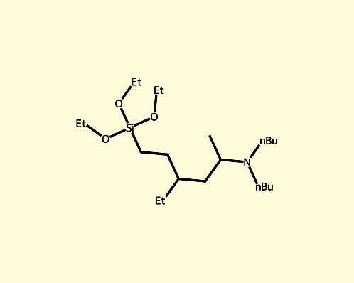 CCCCN(CCCC)C(C)CC(CC)CC[Si](OCC)(OCC)OCC